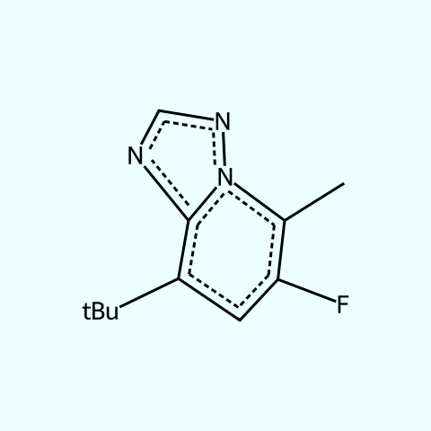 Cc1c(F)cc(C(C)(C)C)c2ncnn12